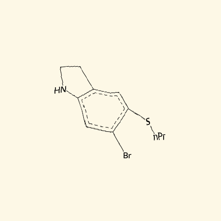 CCCSc1cc2c(cc1Br)NCC2